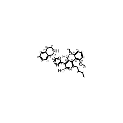 CCCCc1nc(O)c(-c2nnc([C@H]3NCCc4ccccc43)o2)c(O)c1-c1c(OC)cccc1OC